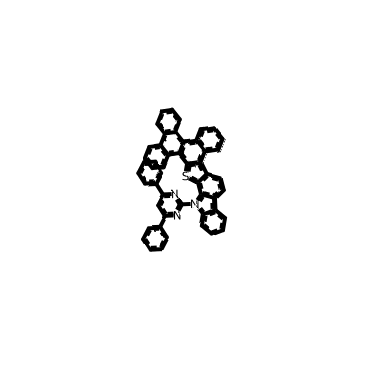 c1ccc(-c2cc(-c3ccccc3)nc(-n3c4ccccc4c4ccc5c(sc6c5c5ccccc5c5c7ccccc7c7ccccc7c65)c43)n2)cc1